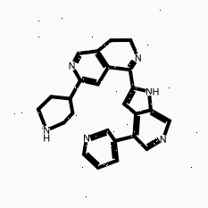 c1cncc(-c2cncc3[nH]c(C4=NCCc5cnc(C6CCNCC6)cc54)cc23)c1